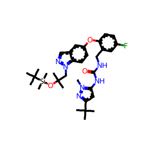 Cn1nc(C(C)(C)C)cc1NC(=O)NCc1cc(F)ccc1Oc1ccc2c(cnn2CC(C)(C)O[Si](C)(C)C(C)(C)C)c1